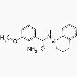 COc1cccc(C(=O)N[C@H]2CCCc3ccccc32)c1N